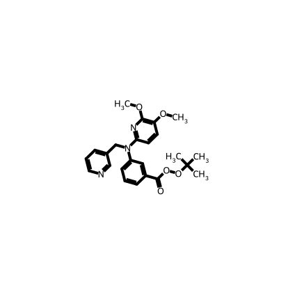 COc1ccc(N(Cc2cccnc2)c2cccc(C(=O)OOC(C)(C)C)c2)nc1OC